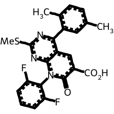 CSc1nc(-c2cc(C)ccc2C)c2cc(C(=O)O)c(=O)n(-c3c(F)cccc3F)c2n1